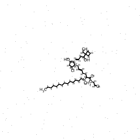 CCCCCCCCCCCCCCN(C)C(CCC=CC[C@@H]1[C@@H](C=CC[C@H](O)C2(CC)CCC2)[C@H](O)C[C@H]1Cl)C(=O)OCC=O